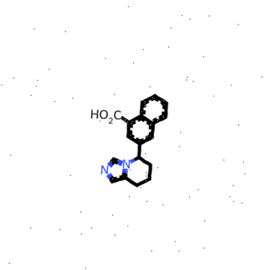 O=C(O)c1cc(C2CCCc3cncn32)cc2ccccc12